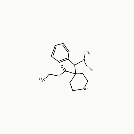 CCOC(=O)C1(C(c2ccccc2)N(C)C)CCNCC1